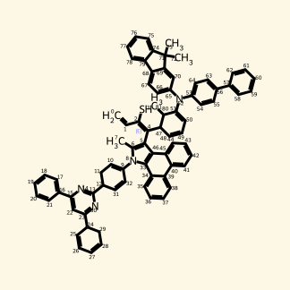 C=C/C(S)=C(\c1c(C)n(C2=CCC(c3nc(-c4ccccc4)cc(C4C=CC=CC4)n3)C=C2)c2c3ccccc3c3ccccc3c12)C1C=CC=C(N(c2ccc(-c3ccccc3)cc2)c2ccc3c(c2)C(C)(C)c2ccccc2-3)C1C